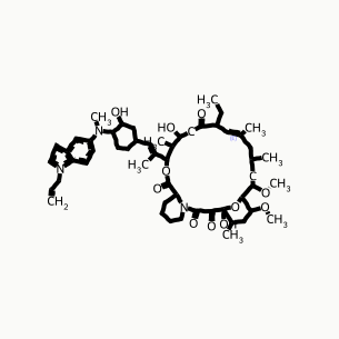 C=CCn1ccc2cc(N(C)C3CCC(C=C(C)C4OC(=O)C5CCCCN5C(=O)C(=O)C5(O)OC(C(OC)CC(C)C/C(C)=C/C(CC)C(=O)CC(O)C4C)C(OC)CC5C)CC3O)ccc21